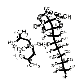 CC(C)C[N+](C)(C)CC(C)C.O=S(=O)([O-])C(C(F)(F)C(F)(F)C(F)(F)C(F)(F)C(F)(F)C(F)(F)C(F)(F)F)(S(=O)(=O)O)S(=O)(=O)O